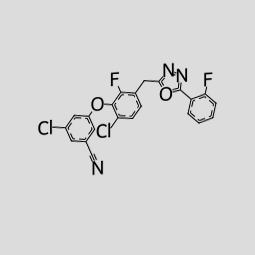 N#Cc1cc(Cl)cc(Oc2c(Cl)ccc(Cc3nnc(-c4ccccc4F)o3)c2F)c1